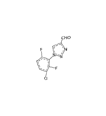 O=Cc1cn(-c2c(F)ccc(Cl)c2F)nn1